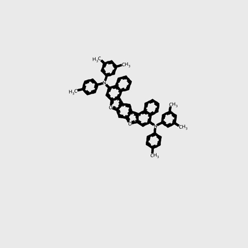 Cc1ccc(N(c2cc(C)cc(C)c2)c2cc3oc4cc5oc6cc(N(c7ccc(C)cc7)c7cc(C)cc(C)c7)c7ccccc7c6c5cc4c3c3ccccc23)cc1